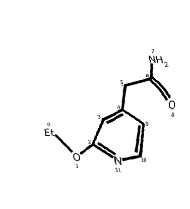 CCOc1cc([CH]C(N)=O)ccn1